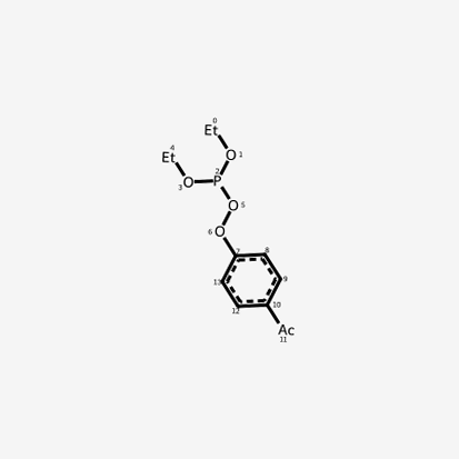 CCOP(OCC)OOc1ccc(C(C)=O)cc1